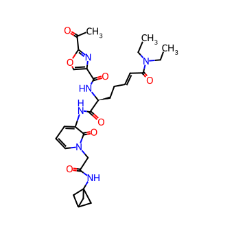 CCN(CC)C(=O)/C=C/CC[C@H](NC(=O)c1coc(C(C)=O)n1)C(=O)Nc1cccn(CC(=O)NC23CC(C2)C3)c1=O